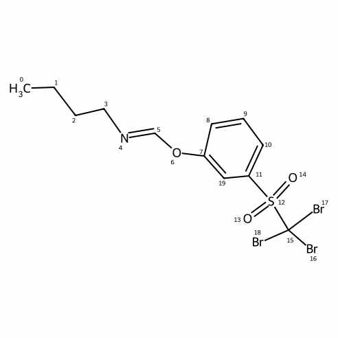 CCCC/N=C/Oc1cccc(S(=O)(=O)C(Br)(Br)Br)c1